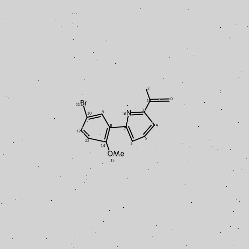 C=C(C)c1cccc(-c2cc(Br)ccc2OC)n1